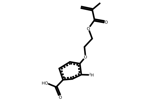 [2H]c1cc(C(=O)O)ccc1OCCOC(=O)C(=C)C